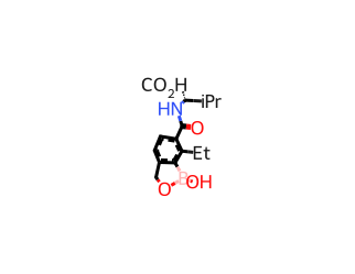 CCc1c(C(=O)N[C@H](C(=O)O)C(C)C)ccc2c1B(O)OC2